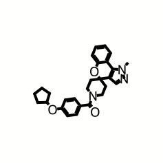 Cn1ncc2c1-c1ccccc1OC21CCN(C(=O)c2ccc(OC3CCCC3)cc2)CC1